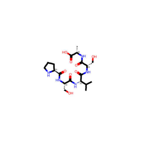 CC(C)[C@H](NC(=O)[C@H](CO)NC(=O)[C@@H]1CCCN1)C(=O)N[C@@H](CO)C(=O)N[C@@H](C)C(=O)O